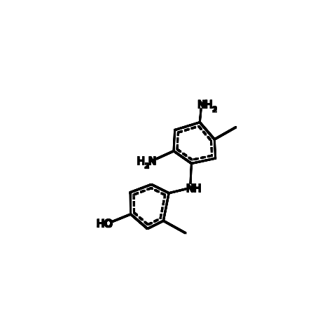 Cc1cc(Nc2ccc(O)cc2C)c(N)cc1N